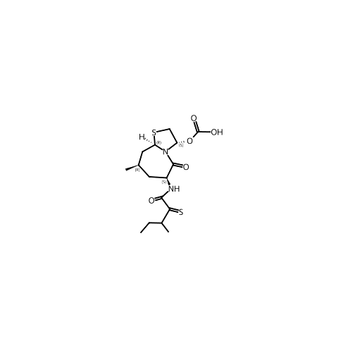 CCC(C)C(=S)C(=O)N[C@H]1C[C@@H](C)C[C@H]2SC[C@H](OC(=O)O)N2C1=O